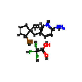 Nc1ccc(CC2(C(=O)O)CCCC2S)cn1.O=C(O)C(F)(F)F